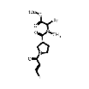 CC(C)C(C(=O)OC(C)(C)C)N(C)C(=O)[C@H]1CCN(C(=O)/C=C/I)C1